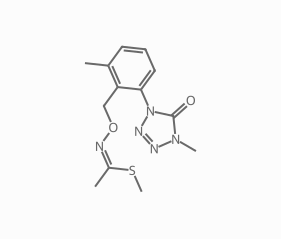 CSC(C)=NOCc1c(C)cccc1-n1nnn(C)c1=O